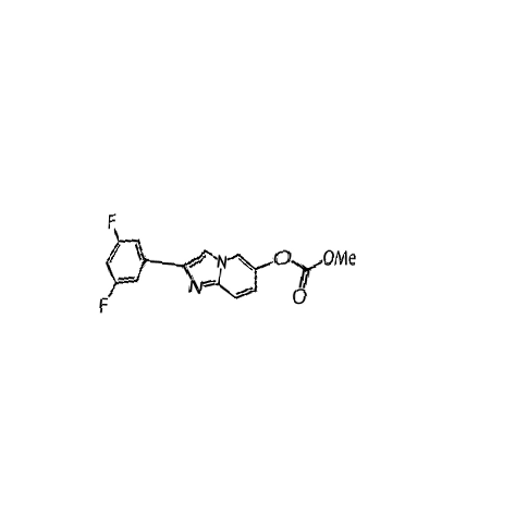 COC(=O)Oc1ccc2nc(-c3cc(F)cc(F)c3)cn2c1